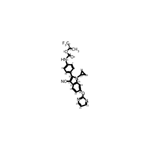 C[C@@H](OC(=O)Nc1ccc(-c2c(C#N)c3ccc(Oc4ncccn4)cc3n2C2CC2)cc1)C(F)(F)F